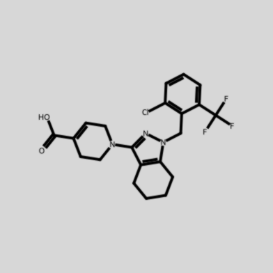 O=C(O)C1=CCN(c2nn(Cc3c(Cl)cccc3C(F)(F)F)c3c2CCCC3)CC1